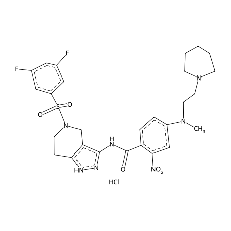 CN(CCN1CCCCC1)c1ccc(C(=O)Nc2n[nH]c3c2CN(S(=O)(=O)c2cc(F)cc(F)c2)CC3)c([N+](=O)[O-])c1.Cl